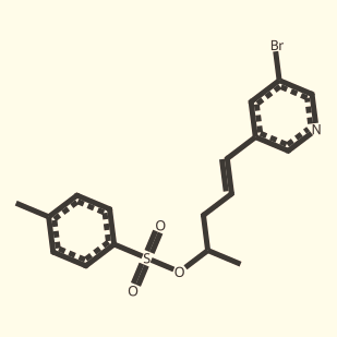 Cc1ccc(S(=O)(=O)OC(C)C/C=C/c2cncc(Br)c2)cc1